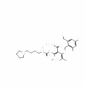 CS/C(NC(=O)NCCCCN1CCCC1)=C(/C(N)=O)C(OCc1c(F)cc(F)cc1CF)=C(C)C